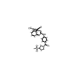 CS(=O)(=O)C1CCN(C(=O)c2ccc(NC3=NCC45CC(=O)CCN(Cl)C4=CC=CC5=N3)cc2)C1